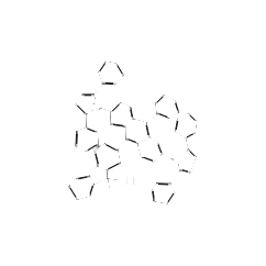 CC1(C)c2ccccc2-c2ccc(-c3c4ccc(-n5c(-c6ccccc6)ccc5-c5ccccc5)cc4c(-c4ccccc4)c4ccc(-n5c(-c6ccccc6)ccc5-c5ccccc5)cc34)cc21